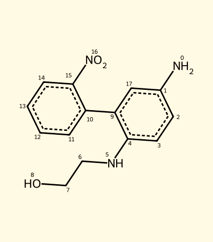 Nc1ccc(NCCO)c(-c2ccccc2[N+](=O)[O-])c1